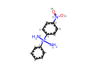 N[N+](N)(c1ccccc1)c1ccc([N+](=O)[O-])cc1